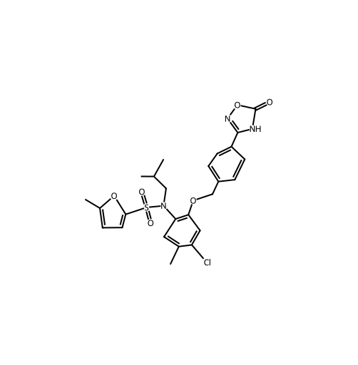 Cc1ccc(S(=O)(=O)N(CC(C)C)c2cc(C)c(Cl)cc2OCc2ccc(-c3noc(=O)[nH]3)cc2)o1